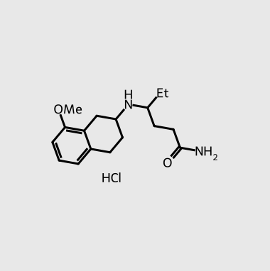 CCC(CCC(N)=O)NC1CCc2cccc(OC)c2C1.Cl